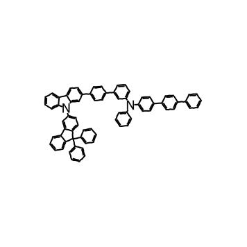 c1ccc(-c2ccc(-c3ccc(N(c4ccccc4)c4cccc(-c5ccc(-c6ccc7c8ccccc8n(-c8ccc9c(c8)-c8ccccc8C9(c8ccccc8)c8ccccc8)c7c6)cc5)c4)cc3)cc2)cc1